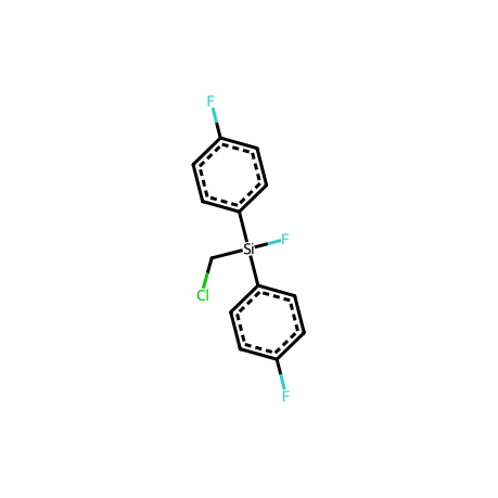 Fc1ccc([Si](F)(CCl)c2ccc(F)cc2)cc1